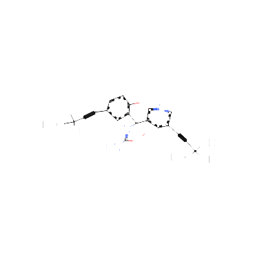 CC(C)(C)C#Cc1ccc2c(c1)[C@@]1(COC(N)=N1)c1cc(C#CC(C)(C)C)cnc1O2